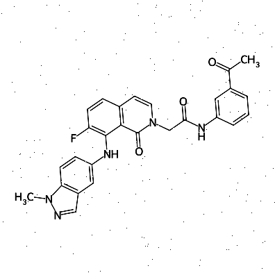 CC(=O)c1cccc(NC(=O)Cn2ccc3ccc(F)c(Nc4ccc5c(cnn5C)c4)c3c2=O)c1